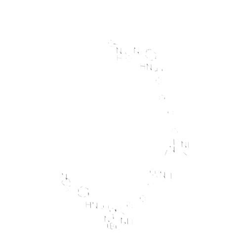 C=C(C)N[C@@H](CCCCNC(=O)COCCOCCOCC(=O)NC(C(=O)N1CCCC1C(=O)NCc1ccc(-c2scnc2C)cc1)C(C)(C)C)C(=C)NCCOCCOCCOCCOCC(=O)Nc1cccc2c1CN(C1CCC(=O)NC1=O)C2